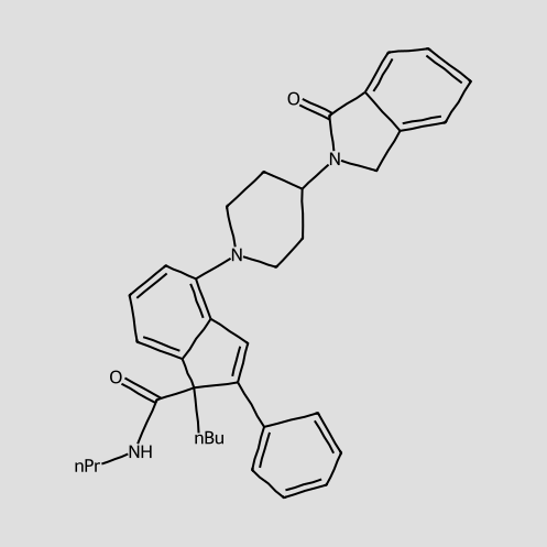 CCCCC1(C(=O)NCCC)C(c2ccccc2)=Cc2c(N3CCC(N4Cc5ccccc5C4=O)CC3)cccc21